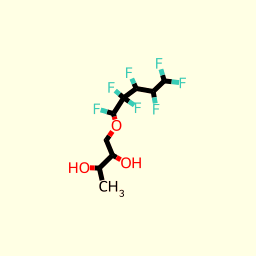 CC(O)C(O)COC(F)C(F)(F)C(F)C(F)C(F)F